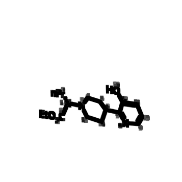 CCCN(C(=O)OCC)N1CCC(c2ncccc2O)CC1